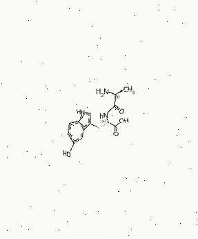 C[C@H](N)C(=O)N[C@@H](Cc1c[nH]c2ccc(O)cc12)C(=O)O